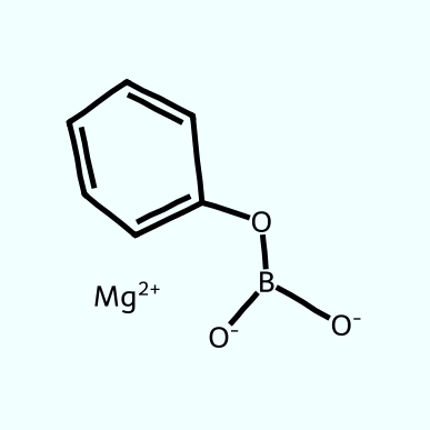 [Mg+2].[O-]B([O-])Oc1ccccc1